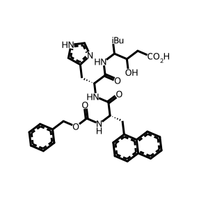 CCC(C)C(NC(=O)[C@@H](Cc1c[nH]cn1)NC(=O)[C@H](Cc1cccc2ccccc12)NC(=O)OCc1ccccc1)C(O)CC(=O)O